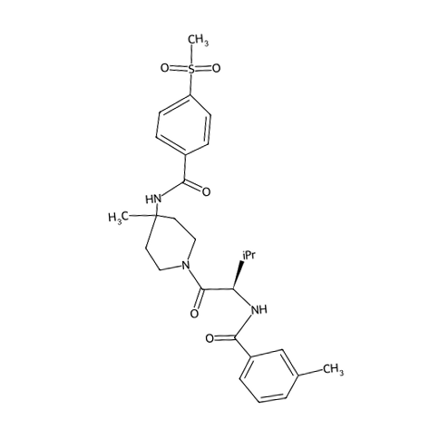 Cc1cccc(C(=O)N[C@@H](C(=O)N2CCC(C)(NC(=O)c3ccc(S(C)(=O)=O)cc3)CC2)C(C)C)c1